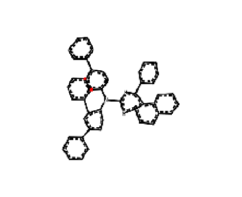 c1ccc(-c2ccc(N(c3nc(-c4ccccc4)c4c(ccc5ccccc54)n3)c3ccc(-c4ccccc4)cc3-c3ccccc3)cc2)cc1